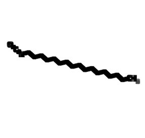 CCCCCCCCCCCCCCCCCN=C=O